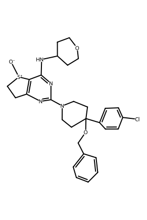 [O-][S+]1CCc2nc(N3CCC(OCc4ccccc4)(c4ccc(Cl)cc4)CC3)nc(NC3CCOCC3)c21